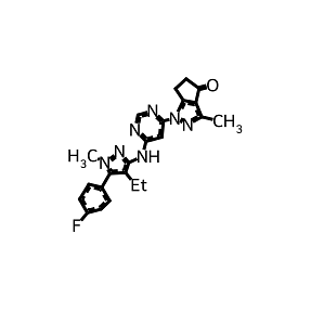 CCc1c(Nc2cc(-n3nc(C)c4c3CCC4=O)ncn2)nn(C)c1-c1ccc(F)cc1